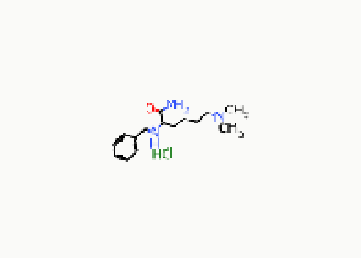 CN(C)CCCCC(NCc1ccccc1)C(N)=O.Cl